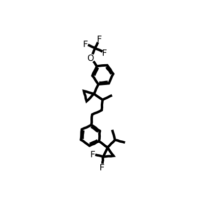 CC(CCc1cccc(C2(C(C)C)CC2(F)F)c1)C1(c2cccc(OC(F)(F)F)c2)CC1